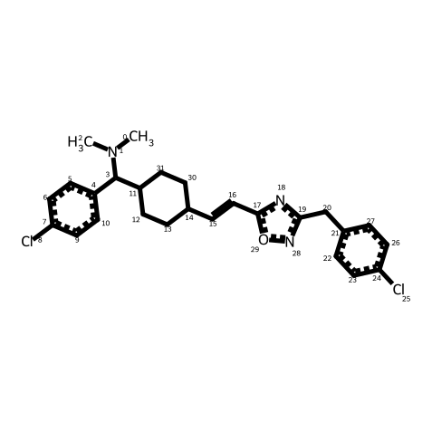 CN(C)C(c1ccc(Cl)cc1)C1CCC(/C=C/c2nc(Cc3ccc(Cl)cc3)no2)CC1